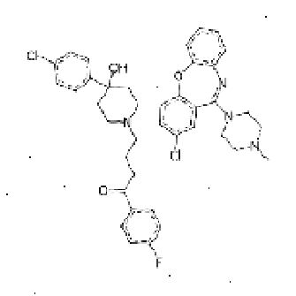 CN1CCN(C2=Nc3ccccc3Oc3ccc(Cl)cc32)CC1.O=C(CCCN1CCC(O)(c2ccc(Cl)cc2)CC1)c1ccc(F)cc1